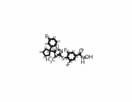 Cn1c(Sc2c(F)cc(C(=O)NO)cc2F)nnc1C1(c2cccc(F)c2)CCCC1